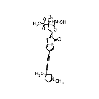 CN1CCC(C)(C#CC#Cc2cc3n(c2)C(=O)N(CCC(C)(C(=O)NO)S(C)(=O)=O)C3)C1